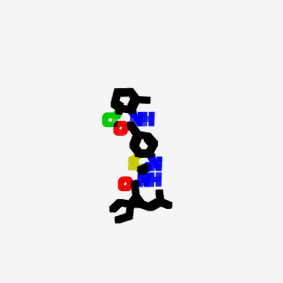 CCC1(CC)C(C=C(C)C)C1C(=O)Nc1nc2ccc(C(=O)Nc3c(C)cccc3Cl)cc2s1